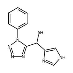 SC(c1c[nH]cn1)c1nnnn1-c1ccccc1